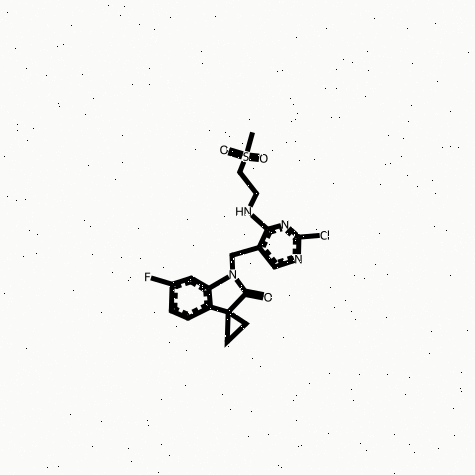 CS(=O)(=O)CCNc1nc(Cl)ncc1CN1C(=O)C2(CC2)c2ccc(F)cc21